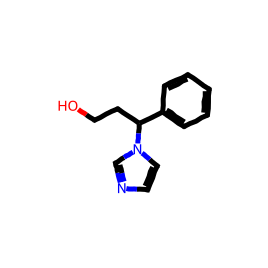 OCCC(c1ccccc1)n1ccnc1